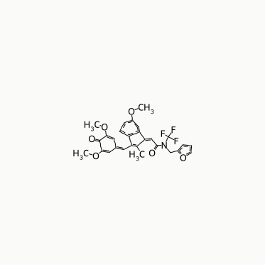 COC1=CC(=CC2=C(C)/C(=C\C(=O)N(Cc3ccco3)C(F)(F)F)c3cc(OC)ccc32)C=C(OC)C1=O